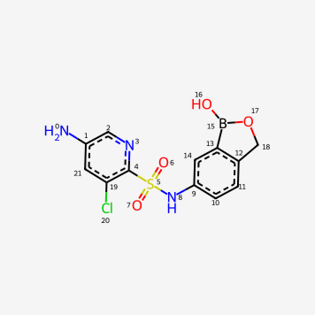 Nc1cnc(S(=O)(=O)Nc2ccc3c(c2)B(O)OC3)c(Cl)c1